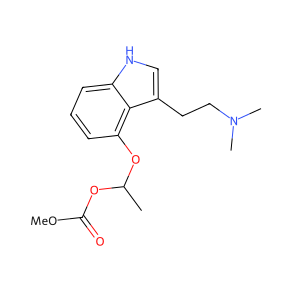 COC(=O)OC(C)Oc1cccc2[nH]cc(CCN(C)C)c12